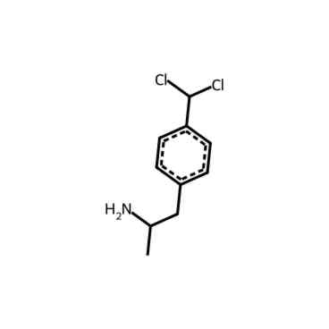 CC(N)Cc1ccc(C(Cl)Cl)cc1